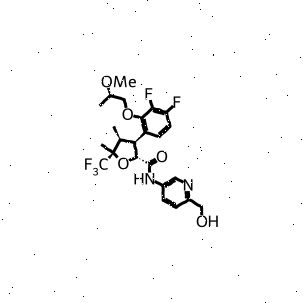 CO[C@H](C)COc1c([C@H]2[C@H](C(=O)Nc3ccc(CO)nc3)O[C@@](C)(C(F)(F)F)[C@H]2C)ccc(F)c1F